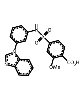 COc1cc(S(=O)(=O)Nc2cccc(-n3cnc4ccccc43)c2)ccc1C(=O)O